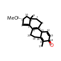 CO[C@H]1C=C2C3=C(CCC2(C)C1)C1C=CC(=O)C(C)=C1CC3